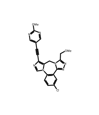 COCc1nnc2n1Cc1c(C#Cc3cnc(OC)nc3)ncn1-c1ccc(Cl)cc1-2